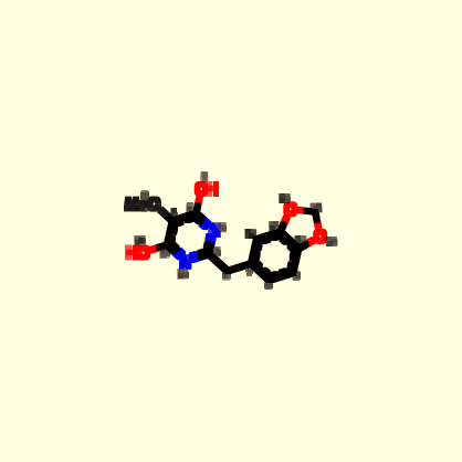 COc1c(O)nc(Cc2ccc3c(c2)OCO3)nc1O